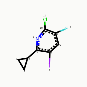 Fc1cc(I)c(C2CC2)nc1Cl